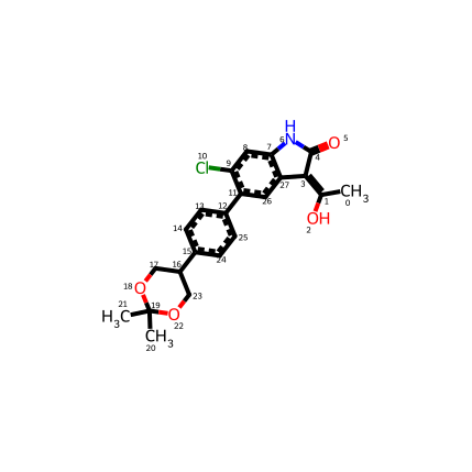 C/C(O)=C1\C(=O)Nc2cc(Cl)c(-c3ccc(C4COC(C)(C)OC4)cc3)cc21